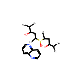 CCC(C#N)C(O)CC(CC)[S+]([O-])C(CC)CC(O)C(C#N)CC.c1cnc2cccnc2c1